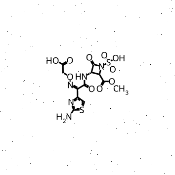 COC(=O)C1C(NC(=O)C(=NOCC(=O)O)c2csc(N)n2)C(=O)N1S(=O)(=O)O